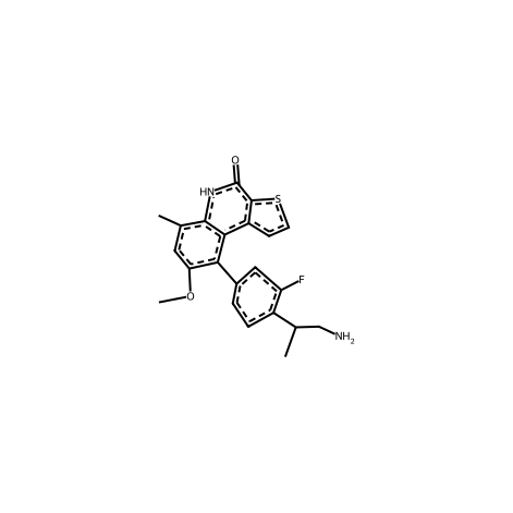 COc1cc(C)c2[nH]c(=O)c3sccc3c2c1-c1ccc(C(C)CN)c(F)c1